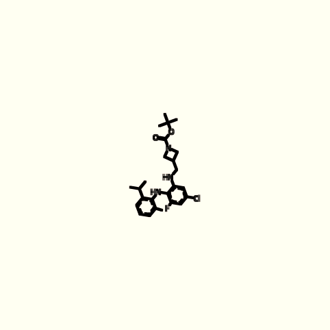 Cc1cccc(C(C)C)c1Nc1c(F)cc(Cl)cc1NCC1CN(C(=O)OC(C)(C)C)C1